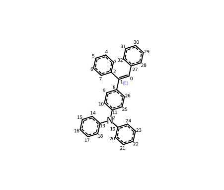 C(=C(/c1ccccc1)c1ccc(N(c2ccccc2)c2ccccc2)cc1)/c1ccccc1